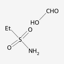 CCS(N)(=O)=O.O=CO